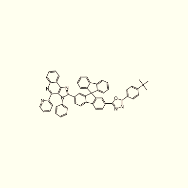 CC(C)(C)c1ccc(-c2nnc(-c3ccc4c(c3)C3(c5ccccc5-c5ccccc53)c3cc(-c5nc6c7ccccc7nc(-c7ccccn7)c6n5-c5ccccc5)ccc3-4)o2)cc1